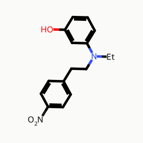 CCN(CCc1ccc([N+](=O)[O-])cc1)c1cccc(O)c1